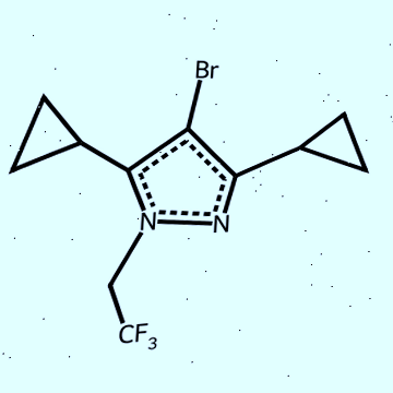 FC(F)(F)Cn1nc(C2CC2)c(Br)c1C1CC1